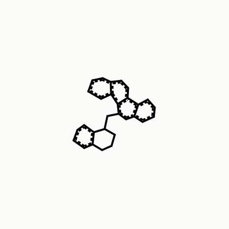 c1ccc2c(c1)CCCC2Cc1cc2ccccc2c2ccc3ccccc3c12